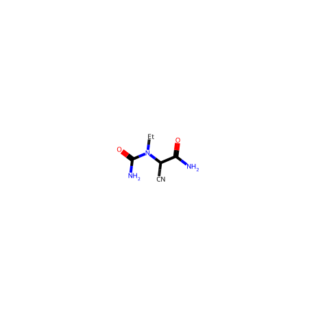 CCN(C(N)=O)C(C#N)C(N)=O